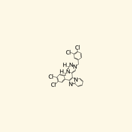 N/C(=C\N(N)Cc1ccc(Cl)c(Cl)c1)c1c(-c2ccc(Cl)c(Cl)c2)nc2ccccn12